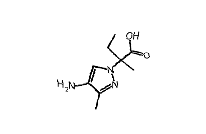 CCC(C)(C(=O)O)n1cc(N)c(C)n1